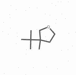 CC(C)(C)C1(C)CCOC1